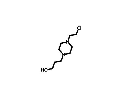 OCCCN1CCN(CCCl)CC1